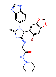 C=C1N/C(=N\CC(=O)NN2CCCCC2)C(c2cc3c(cc2Br)OCO3)N1c1ccc2[nH]cnc2c1